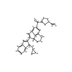 NC1CCN(C(=O)c2cc3c4c(c2)nc(-c2cc5ccccc5n2CC2CC2)n4CCO3)C1